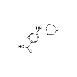 O=C(O)c1ccc(NC2CCOCC2)cc1